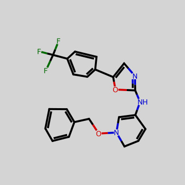 FC(F)(F)c1ccc(-c2cnc(NC3=CN(OCc4ccccc4)CC=C3)o2)cc1